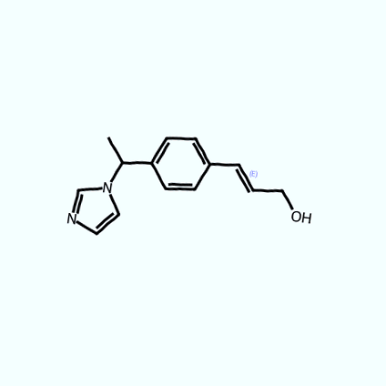 CC(c1ccc(/C=C/CO)cc1)n1ccnc1